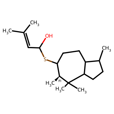 CC(C)=CC(O)SC1CCC2C(C)CCC2C(C)(C)[C@H]1C